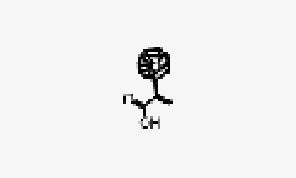 C=C(C(=O)O)[C]12[CH]3[CH]4[CH]5[CH]1[Fe]45321678[CH]2[CH]1[CH]6[CH]7[CH]28